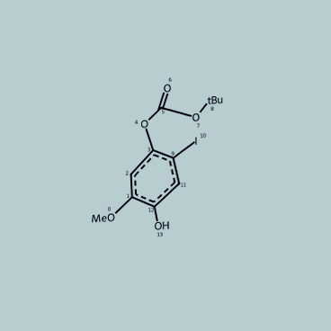 COc1cc(OC(=O)OC(C)(C)C)c(I)cc1O